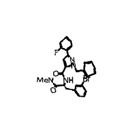 CNC(=O)[C@H](Cc1cccc(Br)c1)NC(=O)c1cc(-c2ccccc2F)nn1Cc1ccccc1